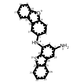 Nc1cc(Nc2ccc3oc4ccccc4c3c2)c2sc3ccccc3c2c1